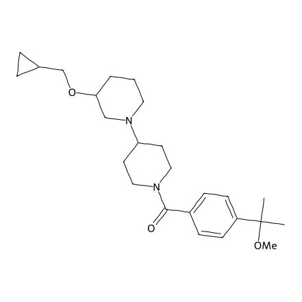 COC(C)(C)c1ccc(C(=O)N2CCC(N3CCCC(OCC4CC4)C3)CC2)cc1